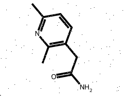 Cc1ccc([CH]C(N)=O)c(C)n1